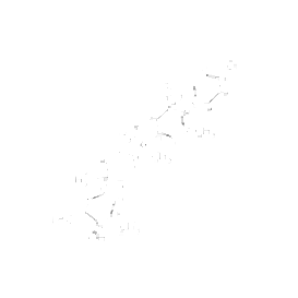 Cc1cc(C2(C)CCC(C(C)(C)c3cc(C)c(-c4ccc(O)cc4)c(C)c3)CC2)cc(C)c1O